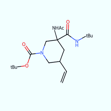 C=CC1CN(C(=O)OC(C)(C)C)CC(NC(C)=O)(C(=O)NC(C)(C)C)C1